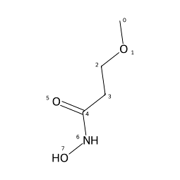 COCCC(=O)NO